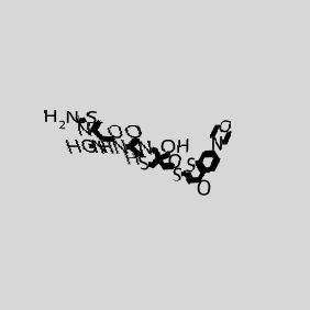 Nc1nc(C(=NO)C(=O)NC2C(=O)N3CC(C=CSc4cc(=O)c5ccc(N6CCOCC6)cc5s4)(C(=O)O)CS[C@H]23)cs1